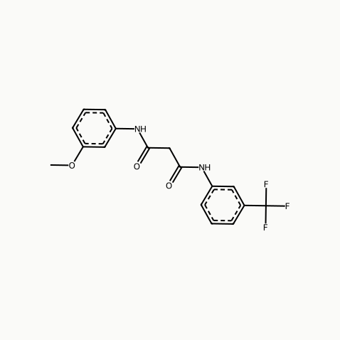 COc1cccc(NC(=O)CC(=O)Nc2cccc(C(F)(F)F)c2)c1